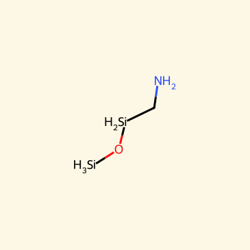 NC[SiH2]O[SiH3]